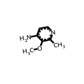 COc1c(N)ccnc1C